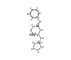 c1ccc(CN2CCNC(CN3CCCC3)C2)cc1